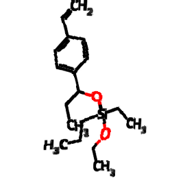 C=Cc1ccc(C(CC)O[Si](CC)(CCC)OCC)cc1